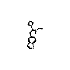 CCNC(Cc1ccc2sccc2c1)C1CCC1